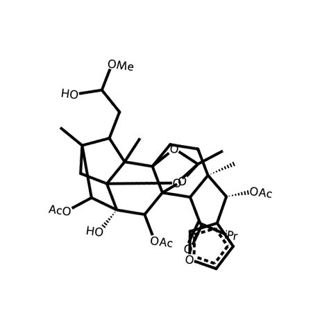 COC(O)CC1C2(C)CC34OC5(C)OC6(C(OC(C)=O)[C@@]3(O)C2OC(C)=O)C(C(=O)C(C)C)[C@](C)([C@H](OC(C)=O)c2ccoc2)CCC6(O5)C14C